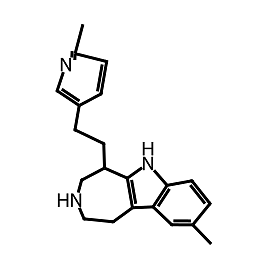 Cc1ccc2[nH]c3c(c2c1)CCNCC3CCc1ccc(C)nc1